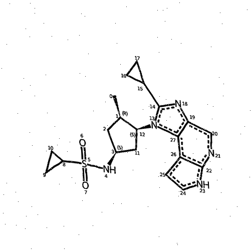 C[C@@H]1C[C@H](NS(=O)(=O)C2CC2)C[C@@H]1n1c(C2CC2)nc2cnc3[nH]ccc3c21